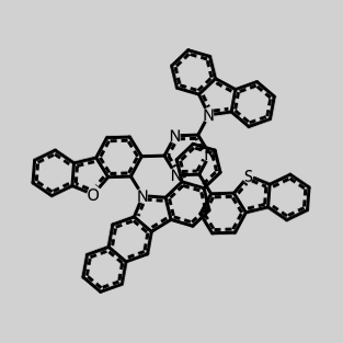 c1ccc2cc3c(cc2c1)c1ccc2ccccc2c1n3-c1c(-c2nc(-c3cccc4c3sc3ccccc34)nc(-n3c4ccccc4c4ccccc43)n2)ccc2c1oc1ccccc12